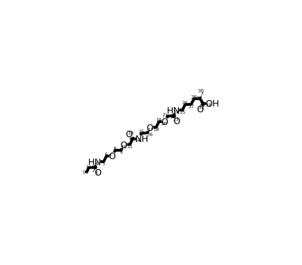 CCC(=O)NCCOCCOCC(=O)NCCOCCOCC(=O)NCCCC[C@H](C)C(=O)O